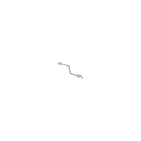 CC[CH]S